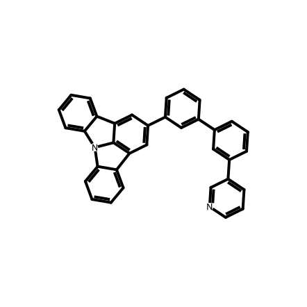 c1cncc(-c2cccc(-c3cccc(-c4cc5c6ccccc6n6c7ccccc7c(c4)c56)c3)c2)c1